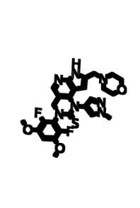 COc1cc(OC)c(F)c(N2Cc3cnc4[nH]c(CN5CCOCC5)cc4c3N(c3cnn(C)c3)C2=S)c1F